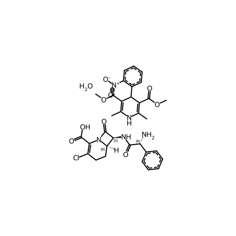 COC(=O)C1=C(C)NC(C)=C(C(=O)OC)C1c1ccccc1[N+](=O)[O-].N[C@@H](C(=O)N[C@@H]1C(=O)N2C(C(=O)O)=C(Cl)CC[C@H]12)c1ccccc1.O